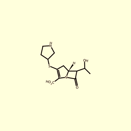 CC(O)C1C(=O)N2C(C(=O)O)=C(SC3CCNC3)C[C@H]12